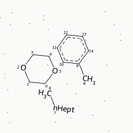 C1COCCO1.CCCCCCCC.Cc1ccccc1